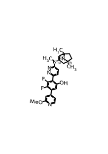 COc1cc(-c2cc(O)c(-c3ccc(N(C)[C@H]4C[C@]5(C)CC[C@](C)(C4)N5)nn3)c(F)c2F)ccn1